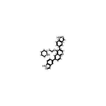 c1cc2[nH]ncc2cc1-c1ccc2ncc(-c3ccc4[nH]ncc4c3)c(OCC[C@H]3CCCCN3)c2c1